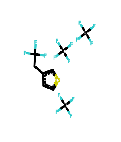 FC(F)(F)Cc1ccsc1.F[B-](F)(F)F.F[B-](F)(F)F.F[B-](F)(F)F